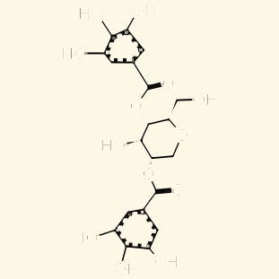 O=C(O[C@H]1[C@H](O)[C@@H](OC(=O)c2cc(O)c(O)c(O)c2)CO[C@@H]1CO)c1cc(O)c(O)c(O)c1